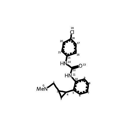 CNCC1CC1c1ccccc1NC(=O)Nc1ccc(Cl)cc1